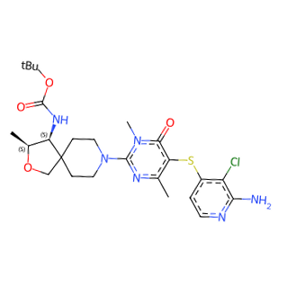 Cc1nc(N2CCC3(CC2)CO[C@@H](C)[C@H]3NC(=O)OC(C)(C)C)n(C)c(=O)c1Sc1ccnc(N)c1Cl